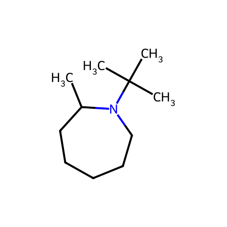 CC1CCCCCN1C(C)(C)C